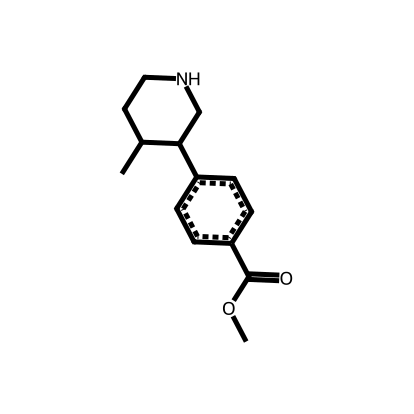 COC(=O)c1ccc(C2CNCCC2C)cc1